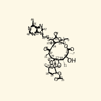 CC[C@H]1OC(=O)[C@H](C)[C@@H](O)[C@H](C)[C@@H](O[C@@H]2O[C@H](C)C=C[C@H]2OC(C)=O)[C@](C)(OC)C[C@@H](C)C(=O)[C@H](C)[C@H]2C(SCCn3cnc4c(C)ncnc43)C(=O)O[C@@]21C